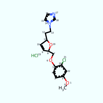 COc1ccc(OCC2C=CC(CCn3ccnc3)O2)c(Cl)c1.Cl